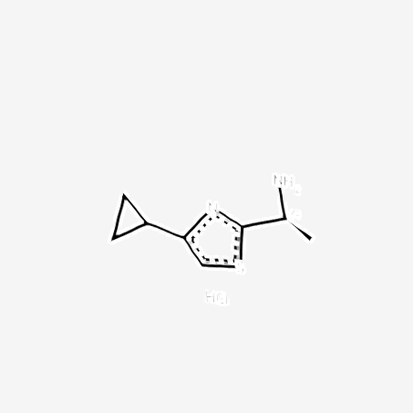 C[C@H](N)c1nc(C2CC2)cs1.Cl